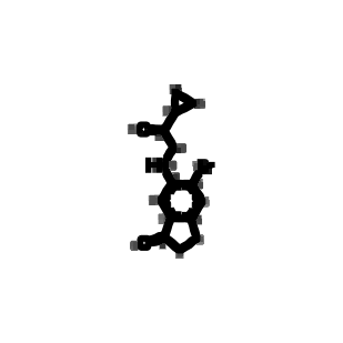 O=C1CCc2cc(Br)c(NCC(=O)C3CC3)cc21